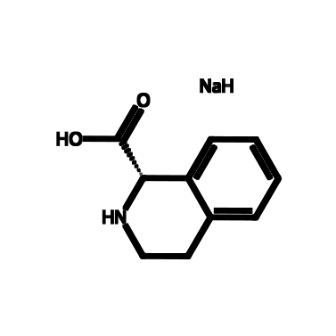 O=C(O)[C@H]1NCCc2ccccc21.[NaH]